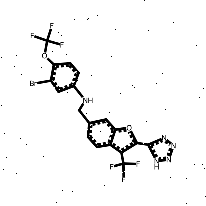 FC(F)(F)Oc1ccc(NCc2ccc3c(C(F)(F)F)c(-c4nnn[nH]4)oc3c2)cc1Br